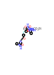 CCC1(c2ccccc2)C(=O)NC(=O)NC1=O.CCOC(=O)NNc1nncc2ccccc12.O=C(CCCN1CCC2(CC1)C(=O)NCN2c1ccccc1)c1ccc(F)cc1